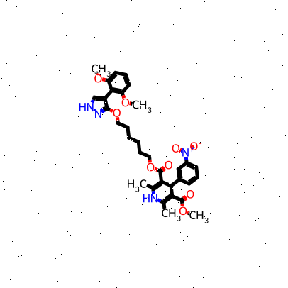 COC(=O)C1=C(C)NC(C)=C(C(=O)OCCCCCCOc2n[nH]cc2-c2c(OC)cccc2OC)C1c1cccc([N+](=O)[O-])c1